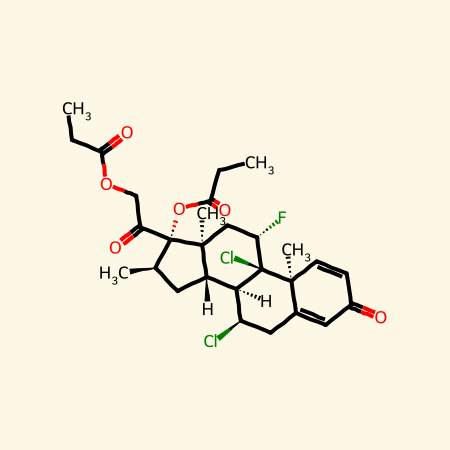 CCC(=O)OCC(=O)[C@]1(OC(=O)CC)[C@H](C)C[C@H]2[C@@H]3[C@H](Cl)CC4=CC(=O)C=C[C@]4(C)[C@@]3(Cl)[C@@H](F)C[C@@]21C